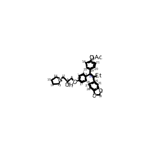 CC/C(=C(/c1ccc(OCC(O)CN2CCCC2)cc1)c1ccc(OC(C)=O)cc1)c1ccc2c(c1)OCO2